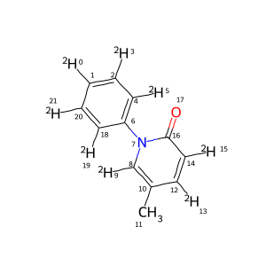 [2H]c1c([2H])c([2H])c(-n2c([2H])c(C)c([2H])c([2H])c2=O)c([2H])c1[2H]